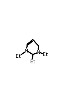 CCC1N(CC)C=CCN1CC